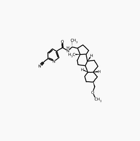 COC[C@H]1CC[C@@H]2C3CC[C@@]4(C)C(CCC4[C@@H](C)NC(=O)c4ccc(C#N)nc4)[C@@H]3CC[C@@H]2C1